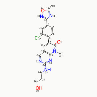 CCn1c(=O)c(-c2ccc(-c3noc(C)n3)cc2Cl)cc2cnc(NCCCO)nc21